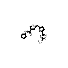 O=C(NC1CCCC1)c1cnn(Cc2ccc(-c3noc(C(F)(F)F)n3)s2)c1